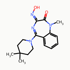 Cn1c(=O)/c(=N\O)nc(N2CCC(C)(C)CC2)c2ccccc21